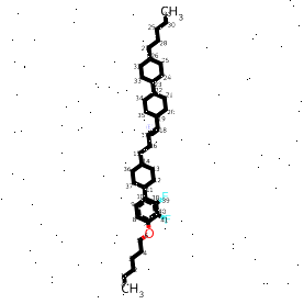 CCCCCCOc1ccc(C2CCC(CC/C=C/C3CCC(C4CCC(CCCCC)CC4)CC3)CC2)c(F)c1F